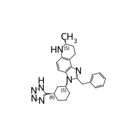 C[C@H]1CCc2c(ccc3c2nc(Cc2ccccc2)n3[C@H]2CCC[C@@H](c3nnn[nH]3)C2)N1